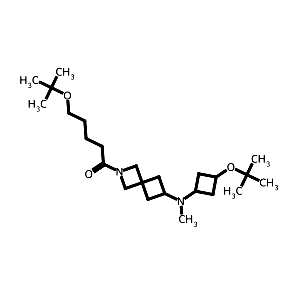 CN(C1CC(OC(C)(C)C)C1)C1CC2(C1)CN(C(=O)CCCCOC(C)(C)C)C2